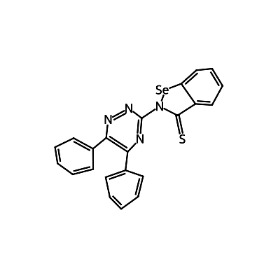 S=c1c2ccccc2[se]n1-c1nnc(-c2ccccc2)c(-c2ccccc2)n1